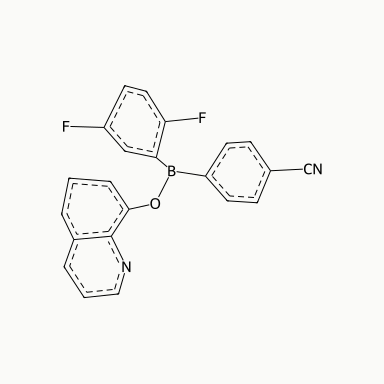 N#Cc1ccc(B(Oc2cccc3cccnc23)c2cc(F)ccc2F)cc1